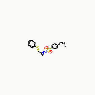 Cc1ccc(S(=O)(=O)N2CC2CSc2ccccc2)cc1